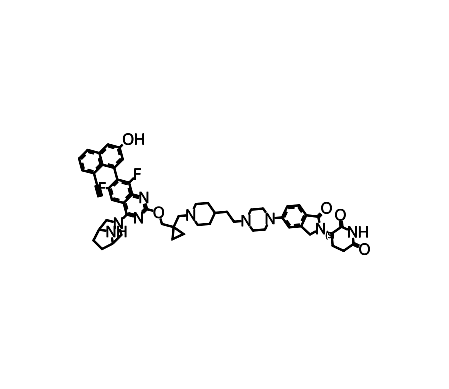 C#Cc1cccc2cc(O)cc(-c3c(F)cc4c(N5CC6CCC(C5)N6)nc(OCC5(CN6CCC(CCN7CCN(c8ccc9c(c8)CN([C@H]8CCC(=O)NC8=O)C9=O)CC7)CC6)CC5)nc4c3F)c12